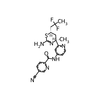 CC(F)(F)C[C@@H]1C[C@@](C)(c2cc(NC(=O)c3ccc(C#N)cn3)ccn2)N=C(N)S1